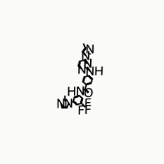 Cc1cn(-c2ccnc(Nc3ccc(C(=O)Nc4cc(-n5ccnc5C)cc(C(F)(F)F)c4)cc3)n2)cn1